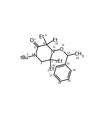 CCC1(CC)CN(C(C)(C)C)C(=O)C(CC)(CC)N1OC(C)c1ccccc1